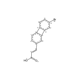 O=C(O)C=Cc1ccc2c(c1)-c1cc(Br)ccc1-2